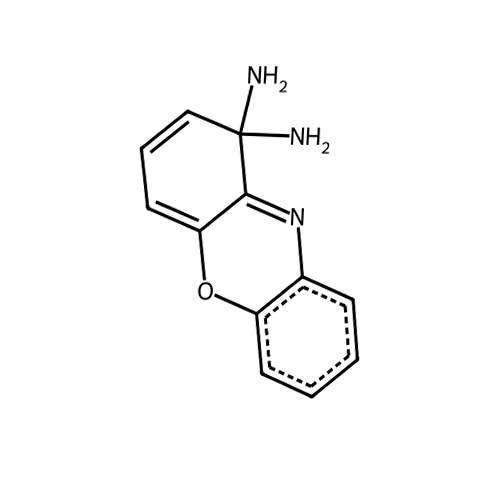 NC1(N)C=CC=C2Oc3ccccc3N=C21